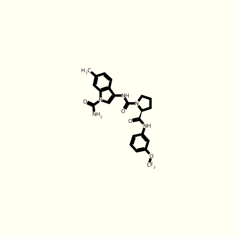 Cc1ccc2c(NC(=O)N3CCC[C@H]3C(=O)Nc3cccc(OC(F)(F)F)c3)cn(C(N)=O)c2c1